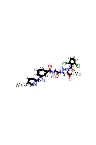 COC(=O)[C@H](CNC(=O)CNC(=O)c1cccc(Nc2ccc(OC)cn2)c1)NC(=O)c1c(Cl)cccc1Cl